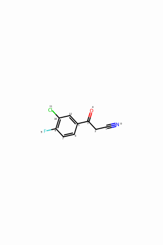 N#CCC(=O)c1ccc(F)c(Cl)c1